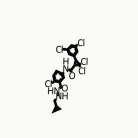 O=C(NNCC1CC1)c1cc(NC(=O)C2C(c3cc(Cl)cc(Cl)c3)C2(Cl)Cl)ccc1Cl